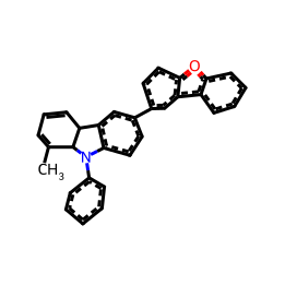 CC1=CC=CC2c3cc(-c4ccc5oc6ccccc6c5c4)ccc3N(c3ccccc3)C12